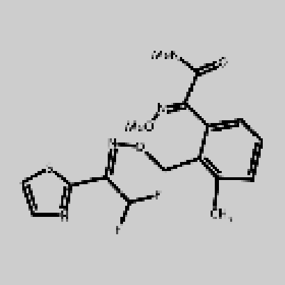 CNC(=O)/C(=N/OC)c1cccc(C)c1CO/N=C(/c1nccs1)C(F)F